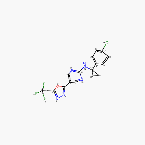 FC(F)(F)c1nnc(-c2cnc(NC3(c4ccc(Cl)cc4)CC3)nc2)o1